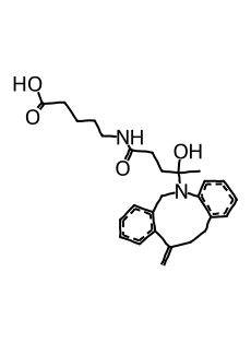 C=C1CCc2ccccc2N(C(C)(O)CCC(=O)NCCCCC(=O)O)Cc2ccccc21